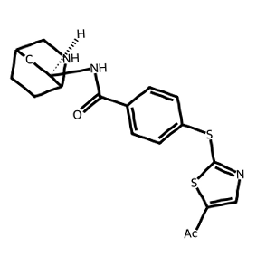 CC(=O)c1cnc(Sc2ccc(C(=O)N[C@@H]3CC4CCC3NC4)cc2)s1